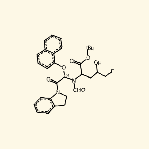 CC(C)(C)OC(=O)C(CC(O)CF)N(C=O)[C@@H](Oc1cccc2ccccc12)C(=O)N1CCc2ccccc21